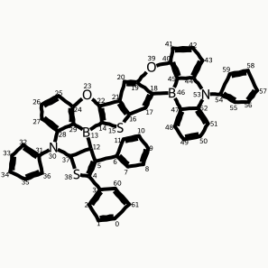 c1ccc(C2=C(c3ccccc3)C3B4c5sc6cc7c(cc6c5Oc5cccc(c54)N(c4ccccc4)C3S2)Oc2cccc3c2B7c2ccccc2N3c2ccccc2)cc1